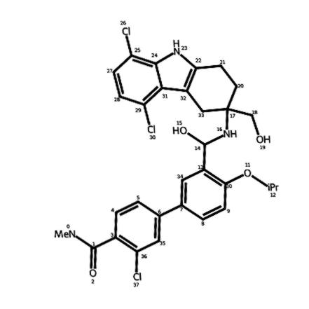 CNC(=O)c1ccc(-c2ccc(OC(C)C)c(C(O)NC3(CO)CCc4[nH]c5c(Cl)ccc(Cl)c5c4C3)c2)cc1Cl